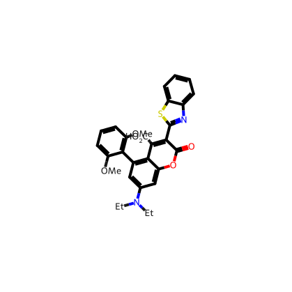 CCN(CC)c1cc(-c2c(OC)cccc2OC)c2c(C(=O)O)c(-c3nc4ccccc4s3)c(=O)oc2c1